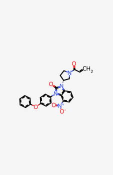 C=CC(=O)N1CC[C@@H](n2c(=O)n(-c3ccc(Oc4ccccc4)cc3)c3c([N+](=O)[O-])cccc32)C1